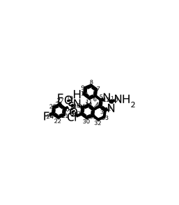 Nc1nc2c(c(-c3ccccc3)n1)-c1cc(NS(=O)(=O)c3ccc(F)cc3F)c(Cl)cc1CC2